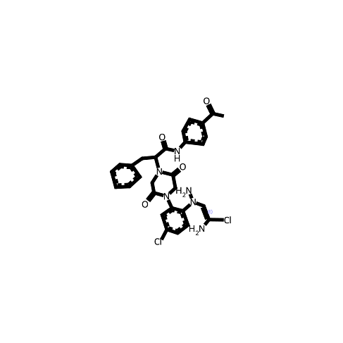 CC(=O)c1ccc(NC(=O)C(Cc2ccccc2)N2CC(=O)N(c3cc(Cl)ccc3N(N)/C=C(\N)Cl)CC2=O)cc1